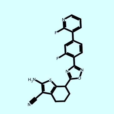 N#Cc1c(N)sc2c1CCCC2c1nc(-c2ccc(-c3cccnc3F)cc2F)no1